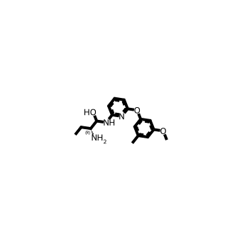 CC[C@@H](N)C(O)Nc1cccc(Oc2cc(C)cc(OC)c2)n1